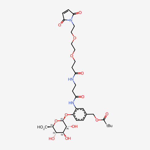 CC(C)(C)C(=O)OCc1ccc(O[C@@H]2O[C@H](C(=O)O)[C@@H](O)[C@H](O)[C@H]2O)c(NC(=O)CCNC(=O)CCOCCOCCN2C(=O)C=CC2=O)c1